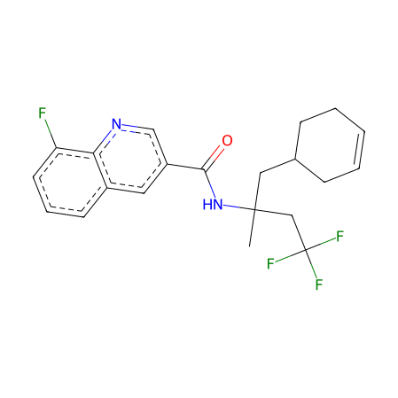 CC(CC1CC=CCC1)(CC(F)(F)F)NC(=O)c1cnc2c(F)cccc2c1